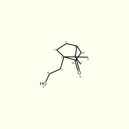 CC1(C)C2CCC1(CCO)C(=O)C2